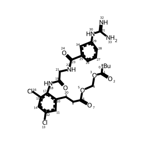 CC(C)(C)C(=O)OCOC(=O)CCc1cc(Cl)cc(Cl)c1NC(=O)CNC(=O)c1cccc(NC(=N)N)c1